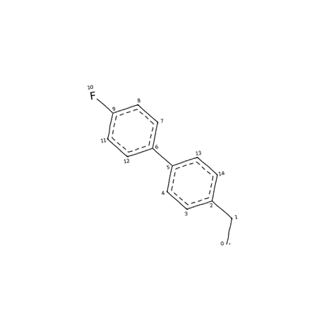 [CH2]Cc1ccc(-c2ccc(F)cc2)cc1